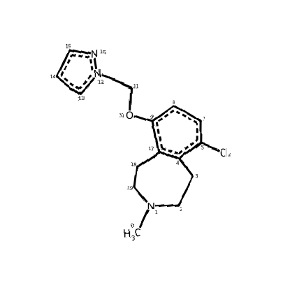 CN1CCc2c(Cl)ccc(OCn3cccn3)c2CC1